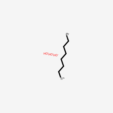 CC(C)CCCCC[CH2][Ti+3].[OH-].[OH-].[OH-]